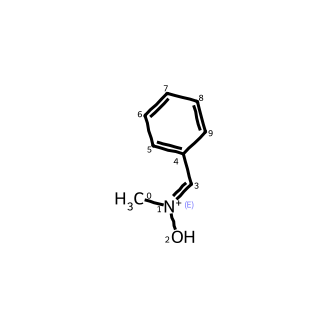 C/[N+](O)=C\c1ccccc1